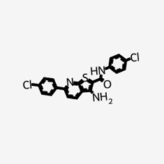 Nc1c(C(=O)Nc2ccc(Cl)cc2)sc2nc(-c3ccc(Cl)cc3)ccc12